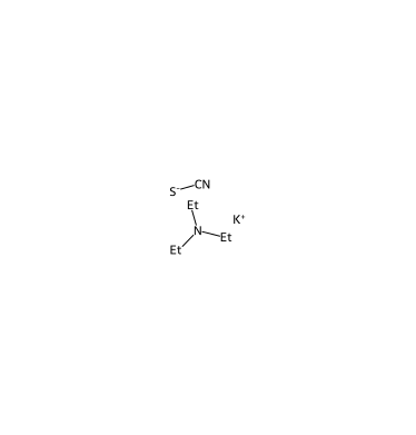 CCN(CC)CC.N#C[S-].[K+]